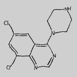 Clc1cc(Cl)c2ncnc(N3CCNCC3)c2c1